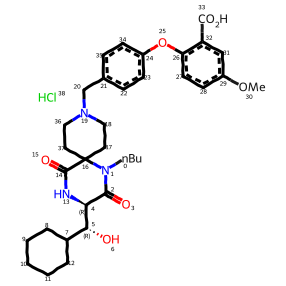 CCCCN1C(=O)[C@@H]([C@H](O)C2CCCCC2)NC(=O)C12CCN(Cc1ccc(Oc3ccc(OC)cc3C(=O)O)cc1)CC2.Cl